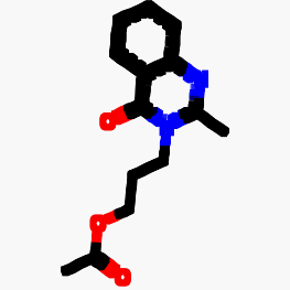 CC(=O)OCCCn1c(C)nc2ccccc2c1=O